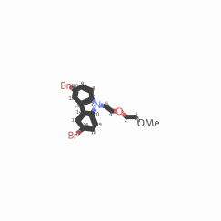 COCCOCCn1c2ccc(Br)cc2c2cc(Br)ccc21